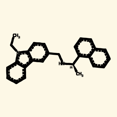 CCn1c2ccccc2c2cc(CN[C@H](C)c3cccc4ccccc34)ccc21